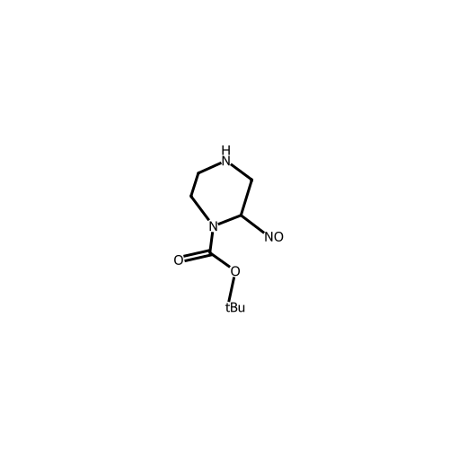 CC(C)(C)OC(=O)N1CCNCC1N=O